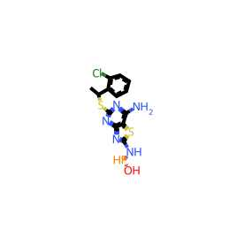 CC(Sc1nc(N)c2sc(NPO)nc2n1)c1ccccc1Cl